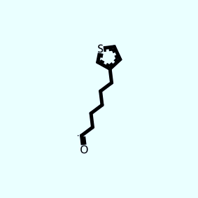 O=[C]CCCCCc1ccsc1